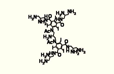 CC(=O)N(CC(N)CN(C(C)=O)c1c(I)c(C(=O)NCC(N)CN)c(I)c(C(=O)NCC(N)CN)c1I)c1c(I)c(C(=O)NCC(N)CN)c(I)c(C(=O)NCC(N)CN)c1I